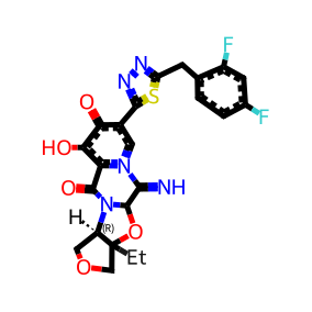 CCC12COC[C@H]1N1C(=O)c3c(O)c(=O)c(-c4nnc(Cc5ccc(F)cc5F)s4)cn3C(=N)C1O2